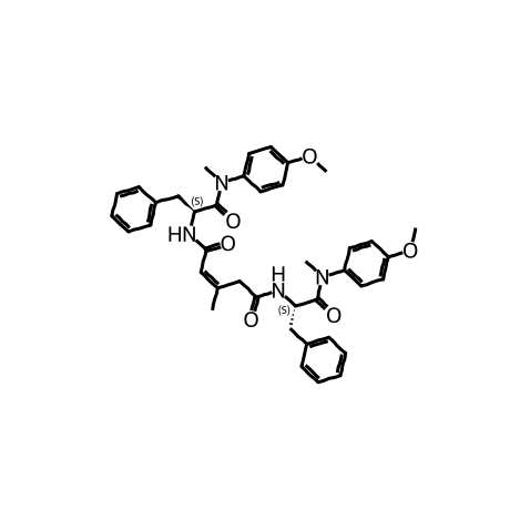 COc1ccc(N(C)C(=O)[C@H](Cc2ccccc2)NC(=O)C=C(C)CC(=O)N[C@@H](Cc2ccccc2)C(=O)N(C)c2ccc(OC)cc2)cc1